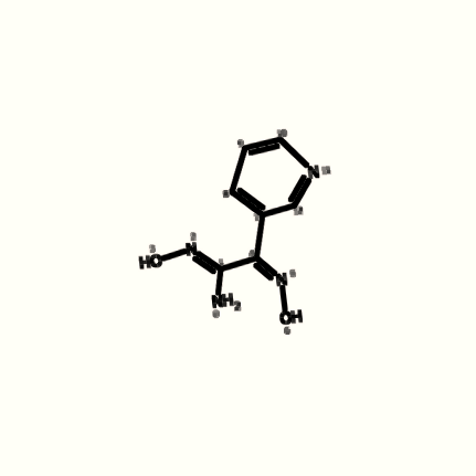 NC(=NO)C(=NO)c1cccnc1